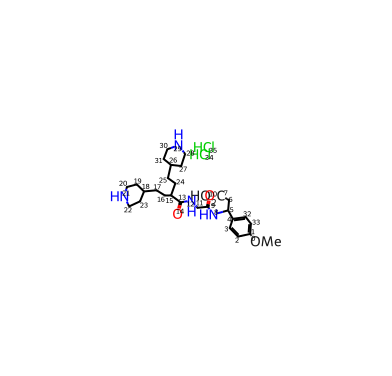 COc1ccc(C(CC(=O)O)NC(=O)CNC(=O)C(CCC2CCNCC2)CCC2CCNCC2)cc1.Cl.Cl